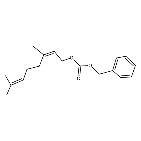 CC(C)=CCC/C(C)=C\COC(=O)OCc1ccccc1